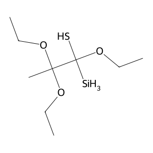 CCOC([SiH3])(S)C(C)(OCC)OCC